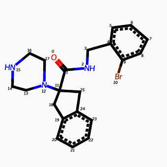 O=C(NCc1ccccc1Br)C1(N2CCNCC2)Cc2ccccc2C1